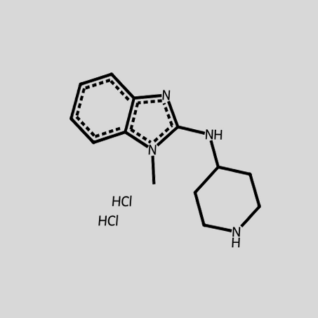 Cl.Cl.Cn1c(NC2CCNCC2)nc2ccccc21